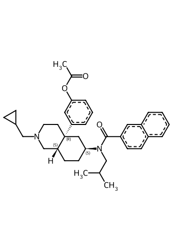 CC(=O)Oc1cccc([C@@]23CCN(CC4CC4)C[C@H]2CC[C@H](N(CC(C)C)C(=O)c2ccc4ccccc4c2)C3)c1